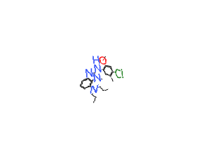 CCCN(CCC)c1cccc2nc(Nc3cc(C)c(Cl)cc3OC)n(C)c12